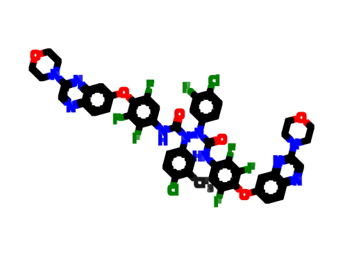 O=C(Nc1cc(F)c(Oc2ccc3ncc(N4CCOCC4)nc3c2)c(F)c1F)N(c1ccc(Cl)c(F)c1)N(C(=O)Nc1cc(F)c(Oc2ccc3ncc(N4CCOCC4)nc3c2)c(F)c1F)c1ccc(Cl)c(C(F)(F)F)c1